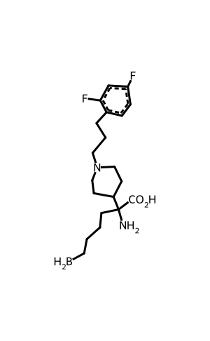 BCCCCC(N)(C(=O)O)C1CCN(CCCc2ccc(F)cc2F)CC1